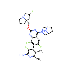 Cc1nc(N)c(F)c(-c2c(F)cc3c(N4CC5CCC(C4)N5)nc(OC[C@@]45CCCN4C[C@H](F)C5)nc3c2F)c1C(F)(F)F